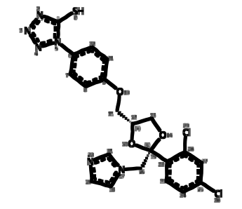 Sc1nnnn1-c1ccc(OC[C@@H]2CO[C@@](Cn3ccnc3)(c3ccc(Cl)cc3Cl)O2)cc1